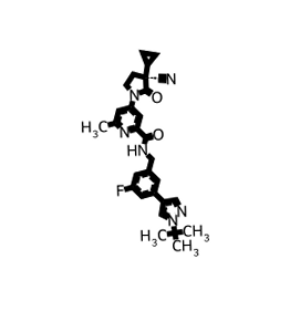 Cc1cc(N2CC[C@@](C#N)(C3CC3)C2=O)cc(C(=O)NCc2cc(F)cc(-c3cnn(C(C)(C)C)c3)c2)n1